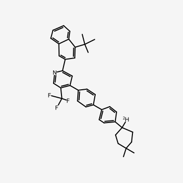 [2H]C1(c2ccc(-c3ccc(-c4cc(-c5cc(C(C)(C)C)c6ccccc6c5)ncc4C(F)(F)F)cc3)cc2)CCC(C)(C)CC1